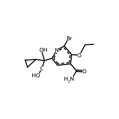 CCOc1c(C(N)=O)cc(C(O)(CO)C2CC2)nc1Br